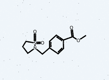 COC(=O)c1ccc(CN2CCCS2(=O)=O)cc1